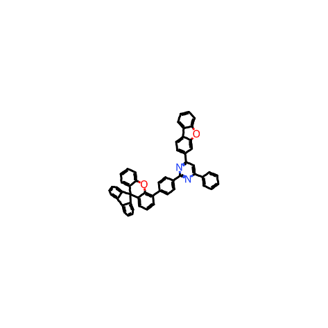 c1ccc(-c2cc(-c3ccc4c(c3)oc3ccccc34)nc(-c3ccc(-c4cccc5c4Oc4ccccc4C54c5ccccc5-c5ccccc54)cc3)n2)cc1